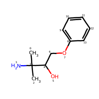 CC(C)(N)C(O)COc1ccccc1